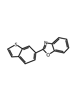 c1ccc2oc(-c3ccc4ccsc4c3)nc2c1